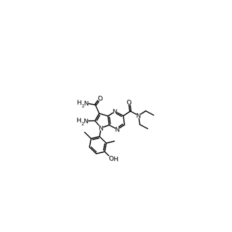 CCN(CC)C(=O)c1cnc2c(n1)c(C(N)=O)c(N)n2-c1c(C)ccc(O)c1C